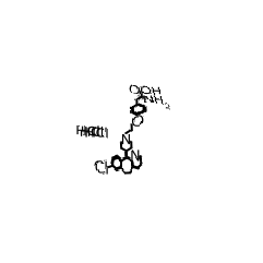 Cl.Cl.Cl.N[C@@H](Cc1ccc(OCCCN2CCC(=C3c4ccc(Cl)cc4CCc4cccnc43)CC2)cc1)C(=O)O